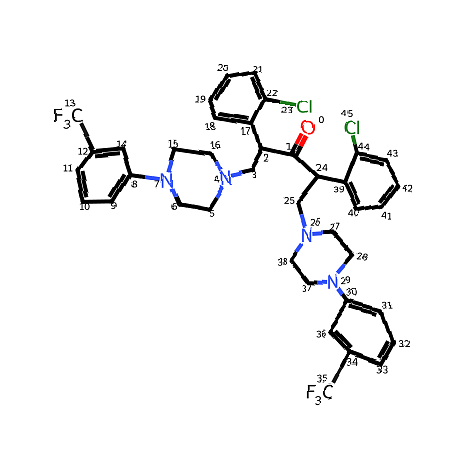 O=C(C(CN1CCN(c2cccc(C(F)(F)F)c2)CC1)c1ccccc1Cl)C(CN1CCN(c2cccc(C(F)(F)F)c2)CC1)c1ccccc1Cl